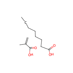 C=C(C)C(=O)O.CCCCCCCC(=O)O